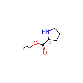 CCCOC(=O)[C@@H]1CCCN1